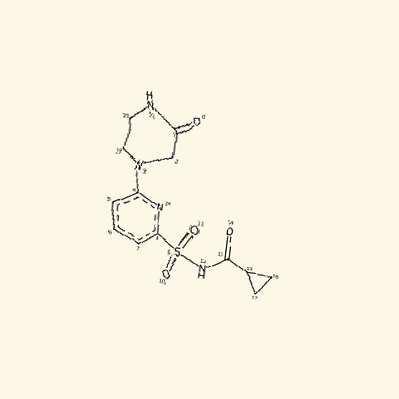 O=C1CN(c2cccc(S(=O)(=O)NC(=O)C3CC3)n2)CCN1